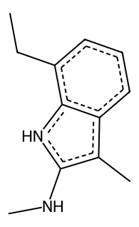 CCc1cccc2c(C)c(NC)[nH]c12